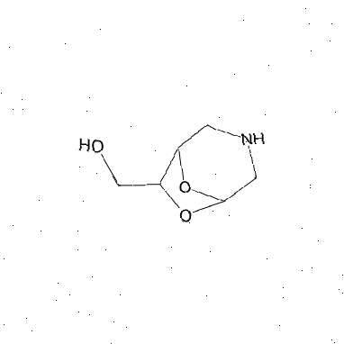 OCC1OC2CNCC1O2